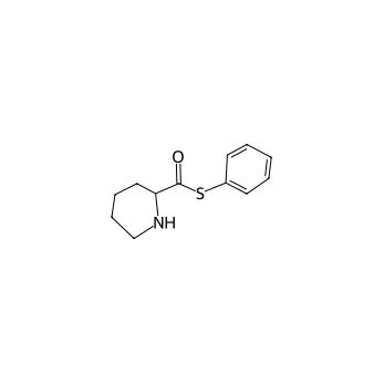 O=C(Sc1ccccc1)C1CCCCN1